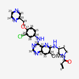 C=CC(=O)N1CCC(Nc2nc3c(Nc4ccc(OCc5cnccn5)c(Cl)c4)ncnc3cc2OC)C1